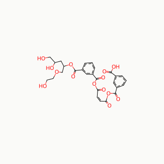 O=C(/C=C\C(=O)OC(=O)c1cccc(C(=O)OC(COCCO)CC(O)CO)c1)OC(=O)c1cccc(C(=O)O)c1